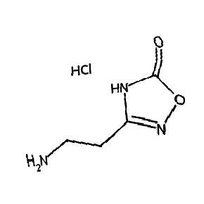 Cl.NCCc1noc(=O)[nH]1